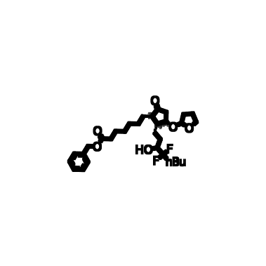 CCCCC(F)(F)C(O)CC[C@H]1[C@H](OC2CCCO2)CC(=O)[C@@H]1CCCCCCC(=O)OCc1ccccc1